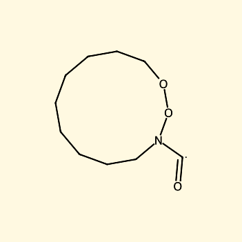 O=[C]N1CCCCCCCCCOO1